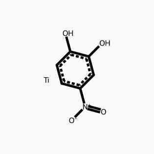 O=[N+]([O-])c1ccc(O)c(O)c1.[Ti]